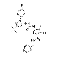 Cc1c(NC(=O)Nc2cc(C(C)(C)C)nn2-c2ccc(F)cc2)sc(C(=O)NCc2ccncc2)c1Cl